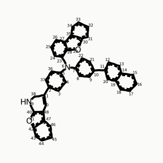 C1=C(c2ccc(N(c3ccc(-c4ccc5ccccc5c4)cc3)c3cccc4c3oc3ccccc34)cc2)CNc2oc3ccccc3c21